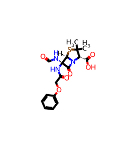 CC1(C)S[C@H]2N(C(=O)[C@@]2(NC=O)NC(=O)COc2ccccc2)[C@H]1C(=O)O